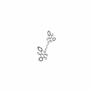 O=C(OCCCCCOC(=O)C1=C(c2ccccc2)C(=O)c2ccccc2C1=O)C1=C(c2ccccc2)C(=O)c2ccccc2C1=O